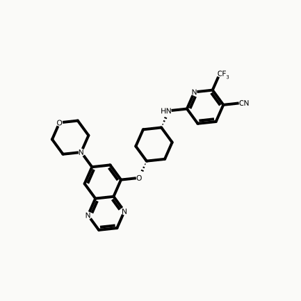 N#Cc1ccc(N[C@H]2CC[C@@H](Oc3cc(N4CCOCC4)cc4nccnc34)CC2)nc1C(F)(F)F